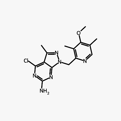 COc1c(C)cnc(Cn2nc(C)c3c(Cl)nc(N)nc32)c1C